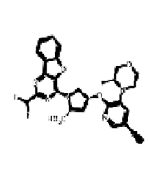 C#Cc1cnc(O[C@H]2C[C@@H](C(=O)O)N(c3nc(C(F)F)nc4c3oc3ccccc34)C2)c(N2CCOC[C@@H]2C)c1